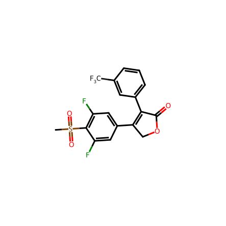 CS(=O)(=O)c1c(F)cc(C2=C(c3cccc(C(F)(F)F)c3)C(=O)OC2)cc1F